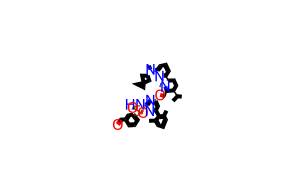 Cc1cccc(C)c1-c1cc(OC[C@@H]2[C@H](C(C)C)CC[C@H](c3cccc(N(C)C4CC5(CC5)C4)n3)N2C)nc(NS(=O)(=O)c2cccc(C=O)c2)n1